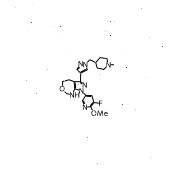 COc1ncc(-n2nc(-c3cnn(CC4CCN(C)CC4)c3)c3c2NCOCC3)cc1F